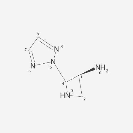 N[C@H]1CNC1n1nccn1